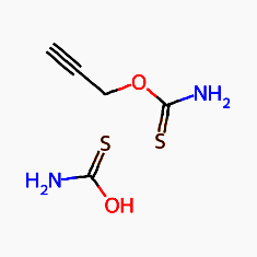 C#CCOC(N)=S.NC(O)=S